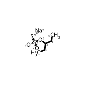 CCC(CC)OS(=O)([O-])=S.[Na+]